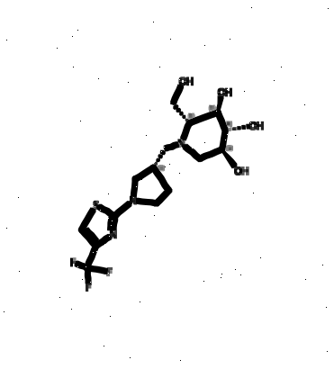 OC[C@@H]1[C@@H](O)[C@H](O)[C@@H](O)CN1C[C@@H]1CCN(c2nc(C(F)(F)F)cs2)C1